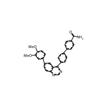 COc1ccc(-c2ccc3ncnc(-c4ccc(-c5ccc(C(N)=O)cc5)cc4)c3c2)cc1OC